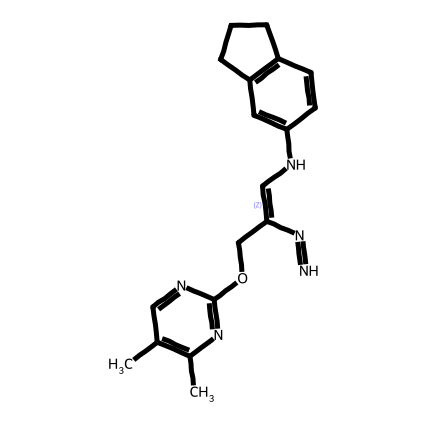 Cc1cnc(OC/C(=C/Nc2ccc3c(c2)CCC3)N=N)nc1C